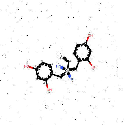 C=[CH][Co](=[NH])(=[NH])(=[CH]c1ccc(O)cc1O)=[CH]c1ccc(O)cc1O